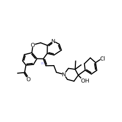 CC(=O)c1ccc2c(c1)/C(=C/CCN1CCC(O)(C3=CC=C(Cl)CC3)C(C)(C)C1)c1cccnc1CO2